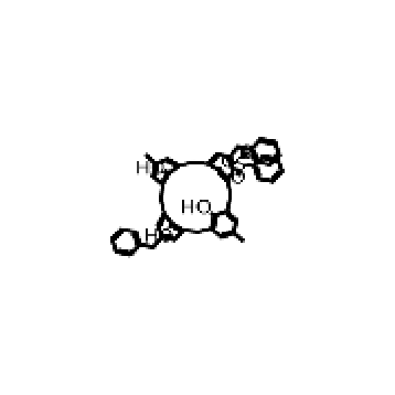 Cc1cc2c(O)c(c1)Cc1cc(Cc3ccccc3)cc(c1OS(=O)(=O)c1ccccc1)Cc1cc(C)cc(c1O)Cc1cc(Cc3ccccc3)cc(c1O)C2